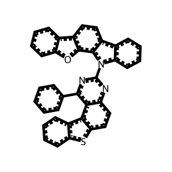 c1ccc(-c2nc(-n3c4ccccc4c4ccc5c6ccccc6oc5c43)nc3ccc4sc5ccccc5c4c23)cc1